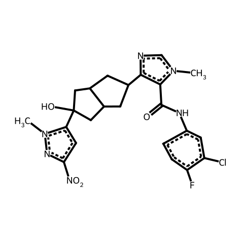 Cn1cnc(C2CC3CC(O)(c4cc([N+](=O)[O-])nn4C)CC3C2)c1C(=O)Nc1ccc(F)c(Cl)c1